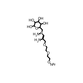 CCCOCCOCCOC/C(N)=C/N(N)CC1OC(O)C(O)C(O)C1O